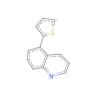 [c]1ccc(-c2cccc3ncccc23)s1